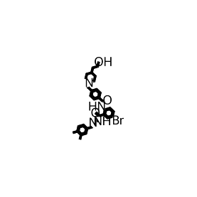 Cc1ccc(/C=N/NC(=O)c2cc(Br)ccc2NC(=O)c2ccc(CN3CCC(CCO)CC3)cc2)cc1C